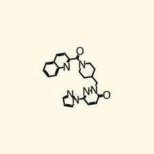 O=C(c1ccc2ccccc2n1)N1CCC(Cn2nc(-n3cccn3)ccc2=O)CC1